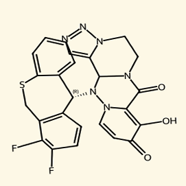 O=C1c2c(O)c(=O)ccn2N([C@H]2c3ccccc3SCc3c2ccc(F)c3F)C2c3cnnn3CCN12